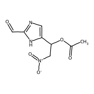 CC(=O)OC(C[N+](=O)[O-])c1cnc(C=O)[nH]1